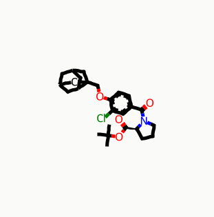 CC(C)(C)OC(=O)[C@@H]1CCCN1C(=O)c1ccc(OCC23CC4CC(CC2C4)C3)c(Cl)c1